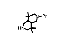 CC(C)N1CC2C(CNCC2(C)C)C(C)(C)C1